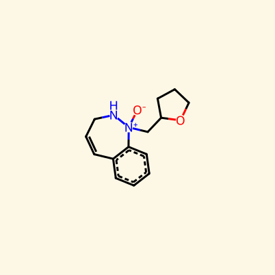 [O-][N+]1(CC2CCCO2)NCC=Cc2ccccc21